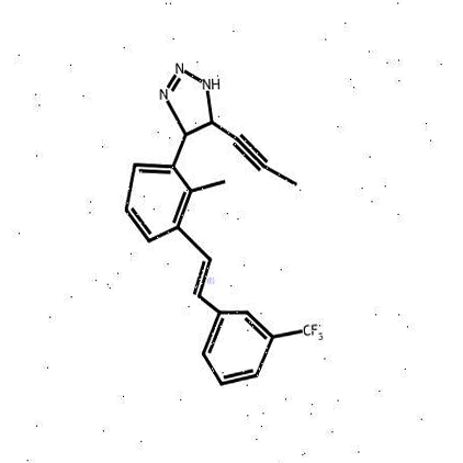 CC#CC1NN=NC1c1cccc(/C=C/c2cccc(C(F)(F)F)c2)c1C